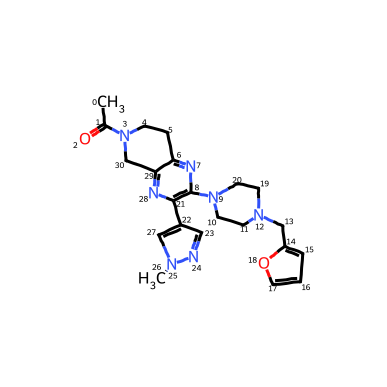 CC(=O)N1CCc2nc(N3CCN(Cc4ccco4)CC3)c(-c3cnn(C)c3)nc2C1